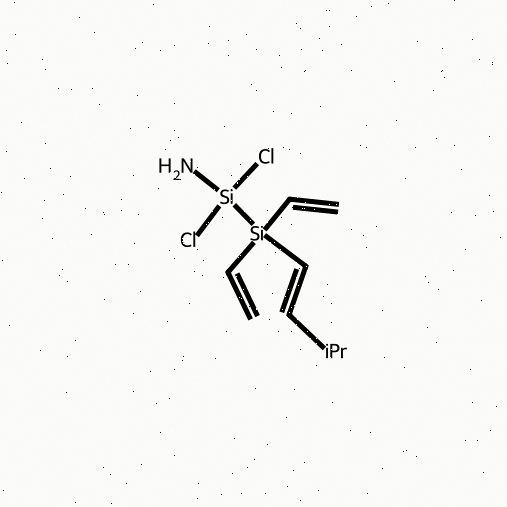 C=C[Si](C=C)(C=CC(C)C)[Si](N)(Cl)Cl